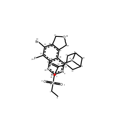 CCS(=O)(=O)c1nc(N2C3CC2CN(C(=O)O)C3)c2c3c(c(Br)c(F)c2n1)COC3